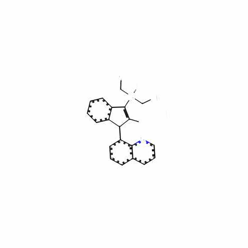 CC[Si](Br)(CC)C1=[C]([Cr+2])C(c2cccc3cccnc23)c2ccccc21.[Cl-].[Cl-]